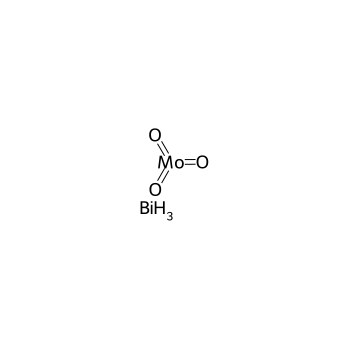 [BiH3].[O]=[Mo](=[O])=[O]